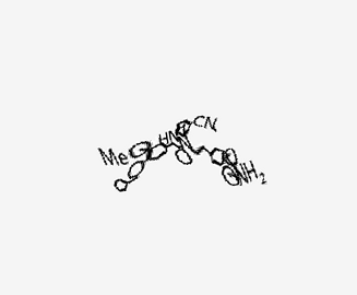 COc1cc([C@H](Nc2ccc(C#N)cc2)C(=O)NCCc2ccc(S(N)(=O)=O)cc2)ccc1OCc1ccccc1